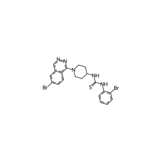 S=C(Nc1ccccc1Br)NC1CCN(c2nncc3cc(Br)ccc23)CC1